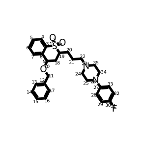 O=S1(=O)c2ccccc2C(OCc2ccccc2)CC1CCCN1CCN(c2ccc(F)cc2)CC1